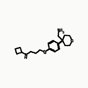 NCC1(c2ccc(OCCCNC3CCC3)cc2)CCOCC1